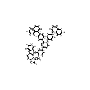 CC1C=Cc2c(n(-c3cccc(-c4cnc5c6ccc(-c7cccc8ccccc78)cc6c6cc(-c7cccc8ccccc78)ccc6c5n4)c3)c3ccccc23)C1C